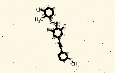 COc1cccc(C#Cc2cc(F)c(NSc3cccc(Cl)c3C)c(F)c2)c1